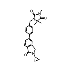 CN1C(=O)N(Cc2ccc(-c3ccc4c(c3)CN(C3CC3)C4=O)cc2)C(C)(C)C1=O